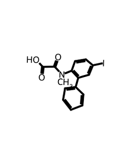 CN(C(=O)C(=O)O)c1ccc(I)cc1-c1ccccc1